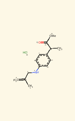 C=C(C)CNc1ccc(C(C)C(=O)OC)cc1.Cl